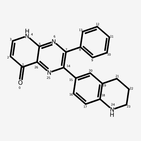 O=c1cc[nH]c2nc(-c3ccccc3)c(-c3ccc4c(c3)CCCN4)nc12